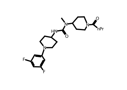 CCCC(=O)N1CCC(N(C)C(=O)NC2CCN(c3cc(F)cc(F)c3)CC2)CC1